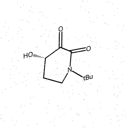 CC(C)(C)N1CC[C@H](O)C(=O)C1=O